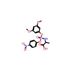 COc1cc(OC)cc(OP(=O)(NC(C)C(=O)O)Oc2ccc([N+](=O)[O-])cc2)c1